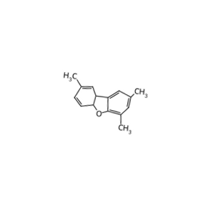 CC1=CC2c3cc(C)cc(C)c3OC2C=C1